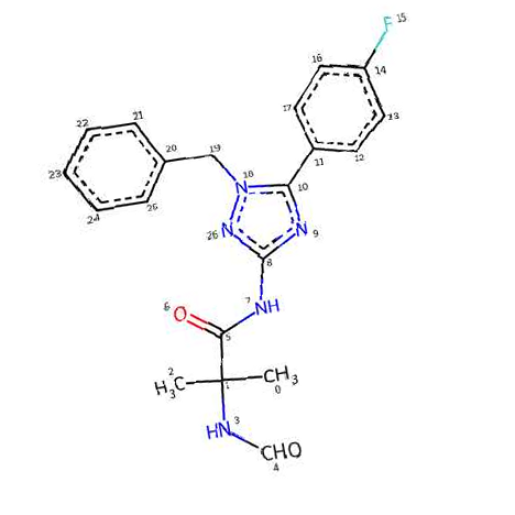 CC(C)(NC=O)C(=O)Nc1nc(-c2ccc(F)cc2)n(Cc2ccccc2)n1